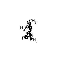 COC[C@@]1(c2ccc(F)cc2)ON=C2/C(=C/c3ccc(-n4cnc(C)c4)c(OC)c3)CCCN21